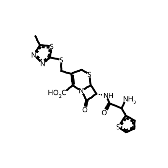 Cc1nnc(SCC2=C(C(=O)O)N3C(=O)[C@@H](NC(=O)C(N)c4cccs4)C3SC2)s1